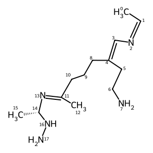 C/C=N\C=C(/CCN)CCC/C(C)=N/[C@@H](C)NN